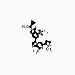 CC(C1CC1)N1Cc2cc(-c3cnc4c(N)nc(-c5ccnn5C)cn34)cc(S(C)(=O)=O)c2C1=O